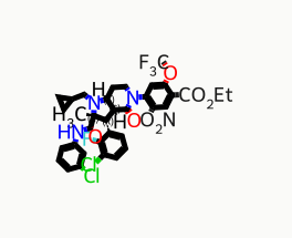 CCOC(=O)c1cc([N+](=O)[O-])c(N2CC[C@H]3[C@@H](C2=O)[C@H](c2cccc(Cl)c2F)[C@](C)(C(=O)Nc2cccc(Cl)c2)N3CC2CC2)cc1OC(F)(F)F